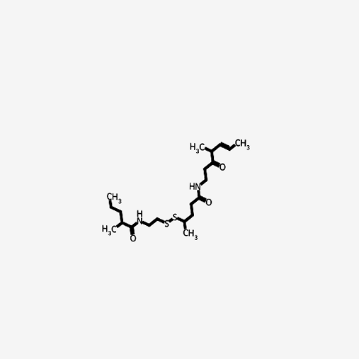 CC=CC(C)C(=O)CCNC(=O)CCC(C)SSCCNC(=O)C(C)CCC